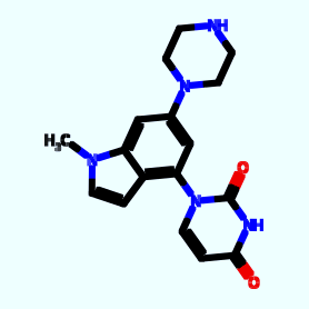 Cn1ccc2c(-n3ccc(=O)[nH]c3=O)cc(N3CCNCC3)cc21